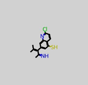 CC(=N)C(=C(C)C)c1cc(S)c2ccc(Cl)nc2c1